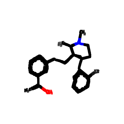 C=C(O)c1cccc(CCC2C(c3ccccc3CC)CCN(C)C2C)c1